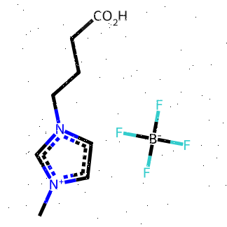 C[n+]1ccn(CCCC(=O)O)c1.F[B-](F)(F)F